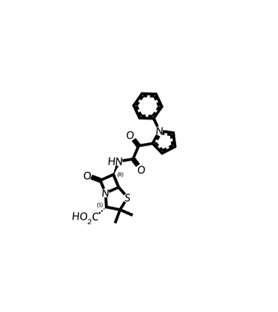 CC1(C)SC2[C@H](NC(=O)C(=O)c3cccn3-c3ccccc3)C(=O)N2[C@H]1C(=O)O